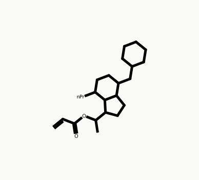 C=CC(=O)OC(C)C1CCC2C(CC3CCCCC3)CCC(CCC)C21